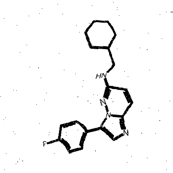 Fc1ccc(-c2cnc3ccc(NCC4CCCCC4)nn23)cc1